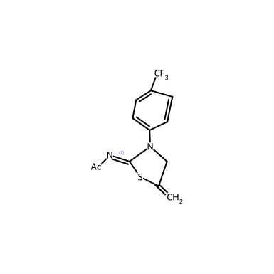 C=C1CN(c2ccc(C(F)(F)F)cc2)/C(=N/C(C)=O)S1